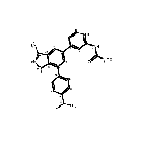 COC(=O)Nc1cc(-c2cc(-c3ccc(C(F)F)cc3)c3[nH]nc(N)c3c2)ccn1